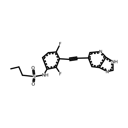 CCCS(=O)(=O)Nc1ccc(F)c(C#Cc2cnc3[nH]cnc3c2)c1F